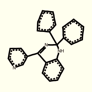 c1ccc(C2(c3ccccc3)N=C(c3cccnc3)c3ccccc3N2)cc1